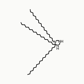 CCCCCCCCCCCCCCCCCCN1CNCNC1(CCCCCCCCCCCCCCCCCC)CCCCCCCCCCCCCCCCCC